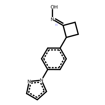 O/N=C1\CCC1c1ccc(-n2cccn2)cc1